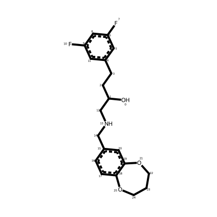 OC(CCc1cc(F)cc(F)c1)CNCc1ccc2c(c1)OCCCO2